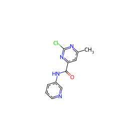 Cc1cc(C(=O)Nc2cccnc2)nc(Cl)n1